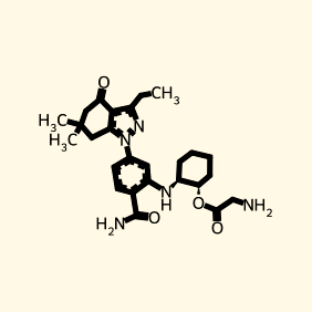 CCc1nn(-c2ccc(C(N)=O)c(N[C@H]3CCCC[C@@H]3OC(=O)CN)c2)c2c1C(=O)CC(C)(C)C2